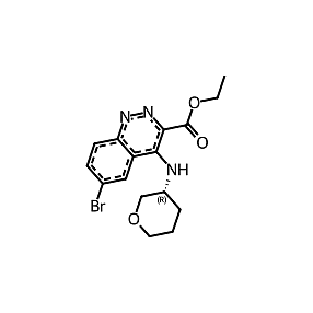 CCOC(=O)c1nnc2ccc(Br)cc2c1N[C@@H]1CCCOC1